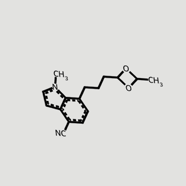 CC1OC(CCCc2ccc(C#N)c3ccn(C)c23)O1